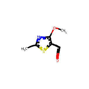 COc1nc(C)sc1C=O